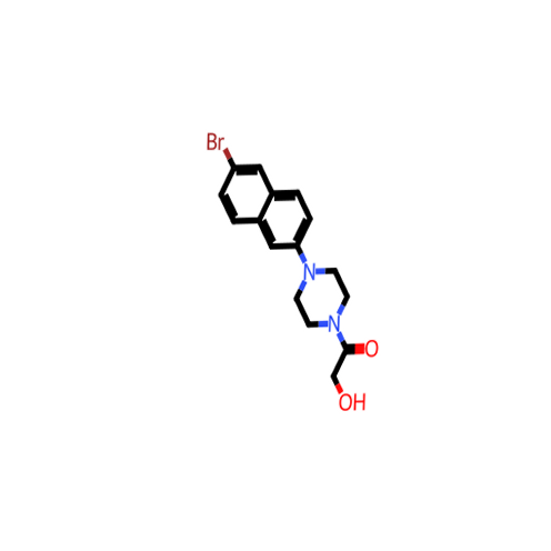 O=C(CO)N1CCN(c2ccc3cc(Br)ccc3c2)CC1